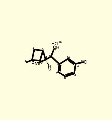 CC12CC(C1)[C@@H](C(O)c1cccc(Cl)c1)N2.Cl